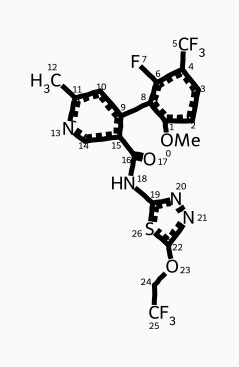 COc1ccc(C(F)(F)F)c(F)c1-c1cc(C)ncc1C(=O)Nc1nnc(OCC(F)(F)F)s1